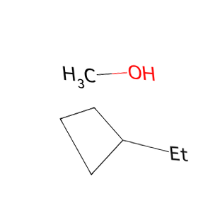 CCC1CCC1.CO